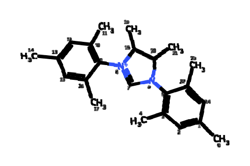 Cc1cc(C)c(N2C=[N+](c3c(C)cc(C)cc3C)C(C)C2C)c(C)c1